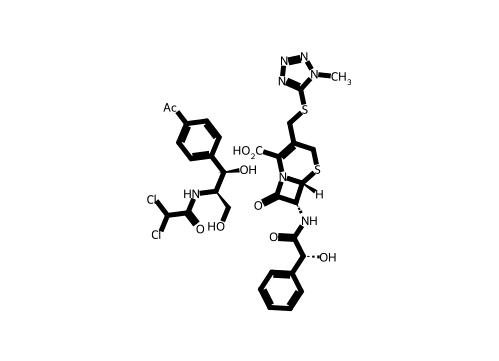 CC(=O)c1ccc([C@@H](O)[C@@H](CO)NC(=O)C(Cl)Cl)cc1.Cn1nnnc1SCC1=C(C(=O)O)N2C(=O)[C@@H](NC(=O)[C@H](O)c3ccccc3)[C@H]2SC1